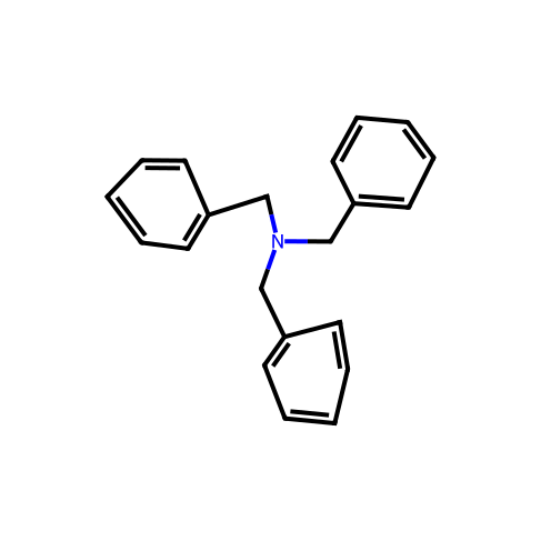 c1ccc(CN(Cc2ccccc2)Cc2ccccc2)cc1